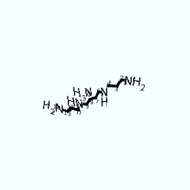 N.NCCCNCCCCNCCCN